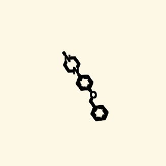 CN1CCN(c2ccc(OCc3ccccc3)cc2)CC1